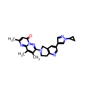 Cc1cc(=O)n2nc(N3CCc4ncc(-c5cnn(C6CC6)c5)cc4C3)c(C)c(C)c2n1